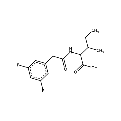 CCC(C)C(NC(=O)Cc1cc(F)cc(F)c1)C(=O)O